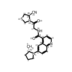 C[C@H]1CCCN1c1ccc2nccc(C(=O)NCC(=O)N3CSC[C@H]3C#N)c2c1